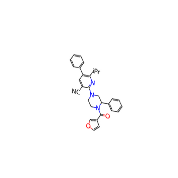 CC(C)c1nc(N2CCN(C(=O)c3ccoc3)C(c3ccccc3)C2)c(C#N)cc1-c1ccccc1